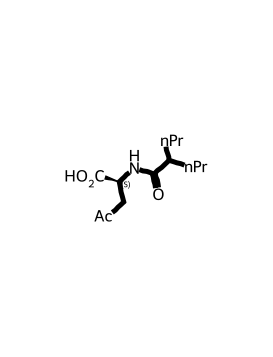 CCCC(CCC)C(=O)N[C@@H](CC(C)=O)C(=O)O